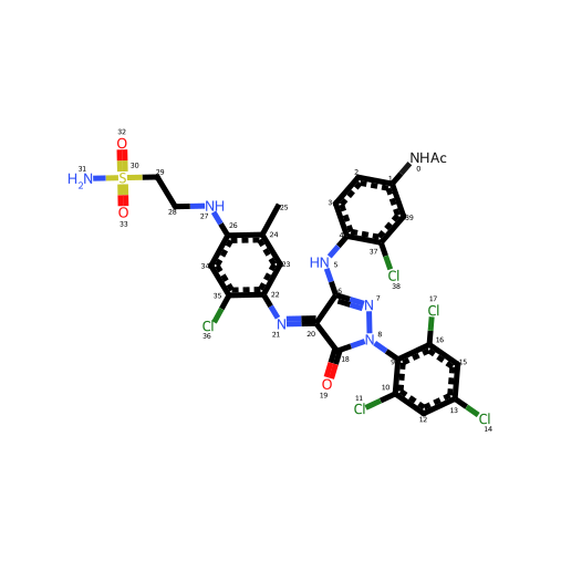 CC(=O)Nc1ccc(NC2=NN(c3c(Cl)cc(Cl)cc3Cl)C(=O)/C2=N/c2cc(C)c(NCCS(N)(=O)=O)cc2Cl)c(Cl)c1